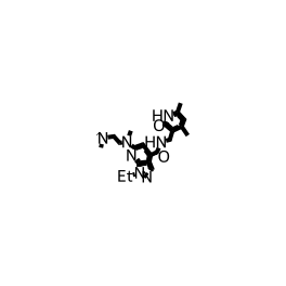 CCn1ncc2c(C(=O)NCc3c(C)cc(C)[nH]c3=O)cc(N(C)CCN(C)C)nc21